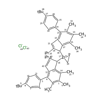 Cc1c(C)c(-c2ccc(C(C)(C)C)cc2)c2c(c1C)[CH]([Zr+2]1([CH]3C(C(C)C)=Cc4c(-c5ccc(C(C)(C)C)cc5)c(C)c(C)c(C)c43)[CH2][CH2]1)C(C(C)C)=C2.[Cl-].[Cl-]